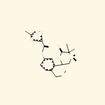 Cc1nc(C(=O)Nc2ccc3c(c2)[C@]2(COC3)CS(=O)(=O)C(C)(C)C(=N)N2)no1